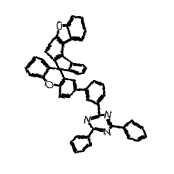 c1ccc(-c2nc(-c3ccccc3)nc(-c3cccc(-c4ccc5c(c4)C4(c6ccccc6O5)c5ccccc5-c5c4ccc4oc6ccccc6c54)c3)n2)cc1